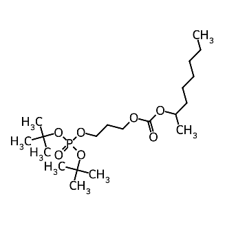 CCCCCCC(C)OC(=O)OCCCOP(=O)(OC(C)(C)C)OC(C)(C)C